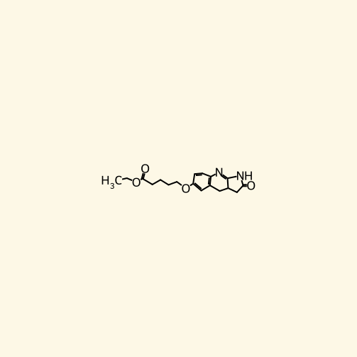 CCOC(=O)CCCCOc1ccc2c(c1)CC1CC(=O)NC1=N2